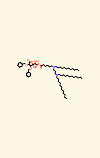 CCCCCCCCCCCCN(CCCCCCCCCCCC)CCCN(CCCCCCCCCCCC)CCCCCC(=O)OC[C@H](O)[C@@]1(O)OC(=O)C(OCc2ccccc2)=C1OCc1ccccc1